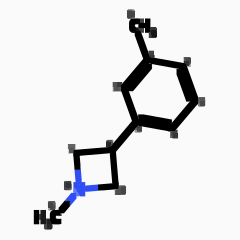 Cc1cccc(C2CN(C)C2)c1